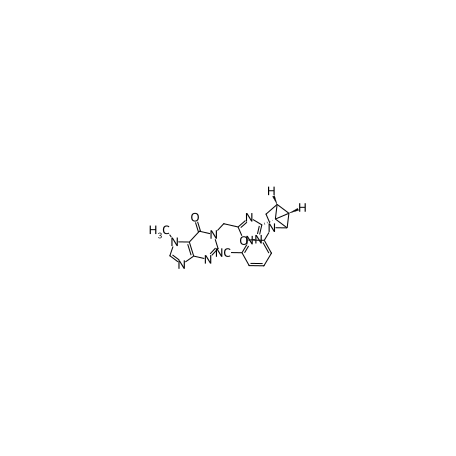 Cn1cnc2ncn(Cc3nc([C@@]45C6[C@H]4[C@H]5CN6c4cccc(C#N)n4)no3)c(=O)c21